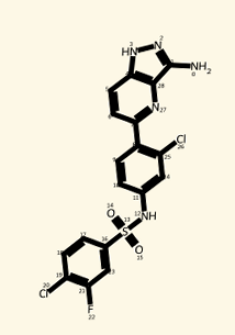 Nc1n[nH]c2ccc(-c3ccc(NS(=O)(=O)c4ccc(Cl)c(F)c4)cc3Cl)nc12